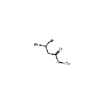 CC(C)(C)OC(=O)CC(S)C(C)(C)C